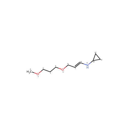 COCCCOC/C=C/NC1CC1